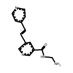 NCNC(=O)c1cncc(/C=C/c2ccncc2)c1